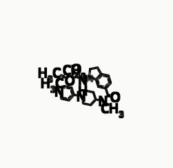 CN(C(=O)c1ccc2c(c1)[C@H](NC(=O)OC(C)(C)C)CC2)C1CCN(c2ccncc2)CC1